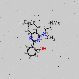 CNCCN(C)c1nc(-c2ccccc2O)nc2c1CCC(C)C2